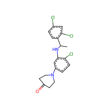 CC(Nc1cc(N2CCC(=O)CC2)ccc1Cl)c1ccc(Cl)cc1Cl